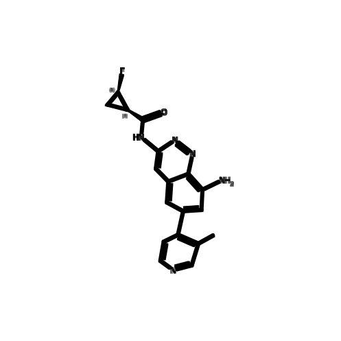 Cc1cnccc1-c1cc(N)c2nnc(NC(=O)[C@H]3C[C@H]3F)cc2c1